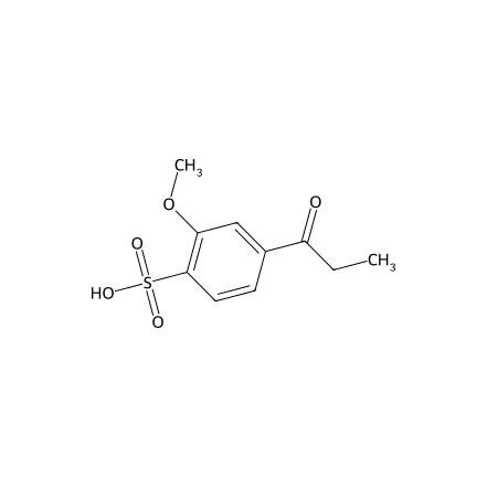 CCC(=O)c1ccc(S(=O)(=O)O)c(OC)c1